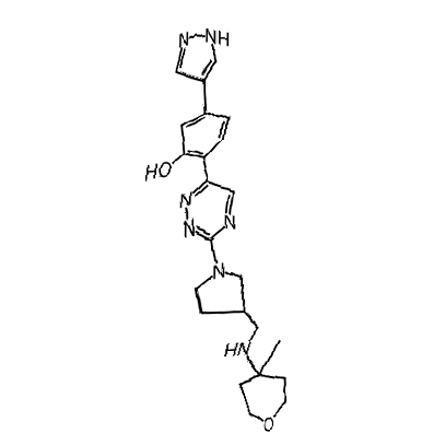 CC1(NCC2CCN(c3ncc(-c4ccc(-c5cn[nH]c5)cc4O)nn3)C2)CCOCC1